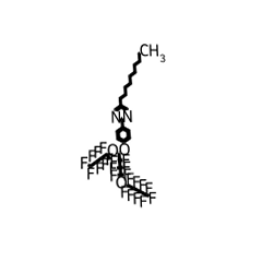 CCCCCCCCCCc1cnc(-c2ccc(OC(OC(F)(F)C(F)(F)C(F)(F)C(F)F)C(F)(F)C(F)(F)C(F)(F)OC(F)(F)C(F)(F)C(F)(F)C(F)(F)F)cc2)nc1